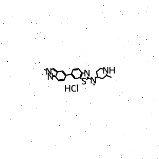 CC1CC(N(C)c2nc3ccc(-c4ccc5nn(C)cc5c4)cc3s2)CCN1.Cl